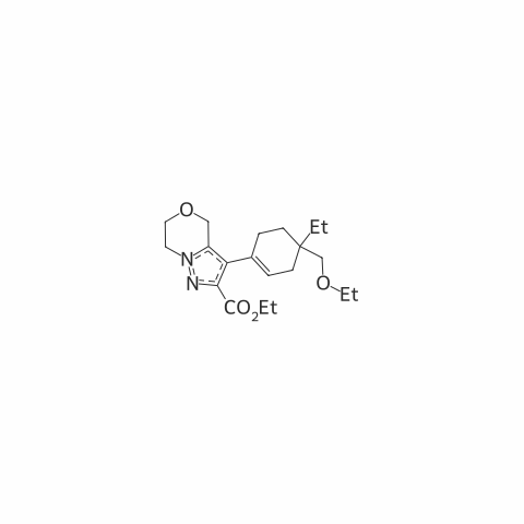 CCOCC1(CC)CC=C(c2c(C(=O)OCC)nn3c2COCC3)CC1